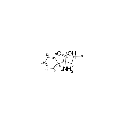 CCCC(N)(C(=O)O)c1ccccc1